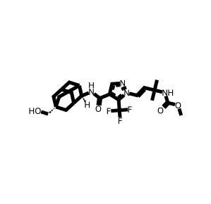 COC(=O)NC(C)(C)/C=C/n1ncc(C(=O)N[C@H]2C3CC4CC2C[C@](CO)(C4)C3)c1C(F)(F)F